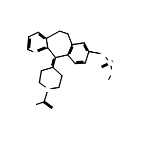 COS(=O)(=O)Oc1ccc2c(c1)CCc1cccnc1C2=C1CCN(C(C)=S)CC1